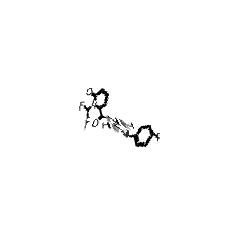 O=C(NNc1ccc(F)cc1)c1cccc(=O)n1C(F)F